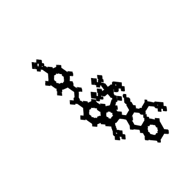 CCOC(=O)C(Cc1ccccc1)c1c(SC(C)(C)C)c2cc(OCc3ccc(C)cn3)ccc2n1C